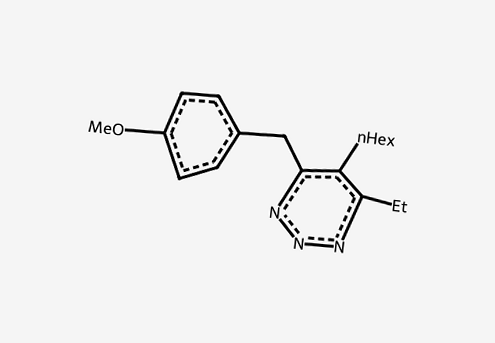 CCCCCCc1c(CC)nnnc1Cc1ccc(OC)cc1